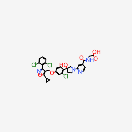 O=C(O)CNC(=O)c1ccnc(N2CCC(O)(c3ccc(OCc4c(-c5c(Cl)cccc5Cl)noc4C4CC4)cc3Cl)C2)c1